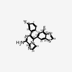 Nc1nc(-c2cccc(F)c2)c(-c2cc(F)c3ncsc3c2)n2ccnc12